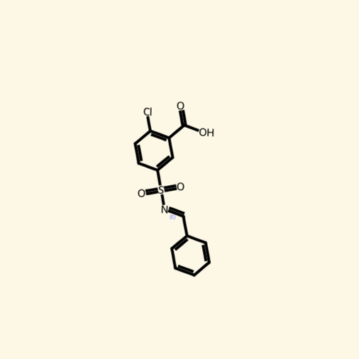 O=C(O)c1cc(S(=O)(=O)/N=C/c2ccccc2)ccc1Cl